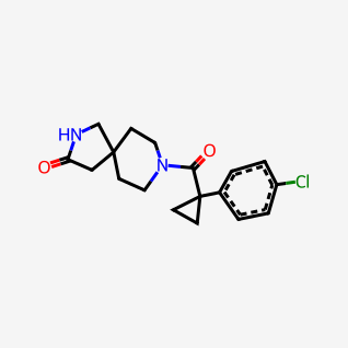 O=C1CC2(CCN(C(=O)C3(c4ccc(Cl)cc4)CC3)CC2)CN1